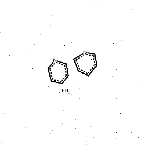 B.c1ccncc1.c1ccncc1